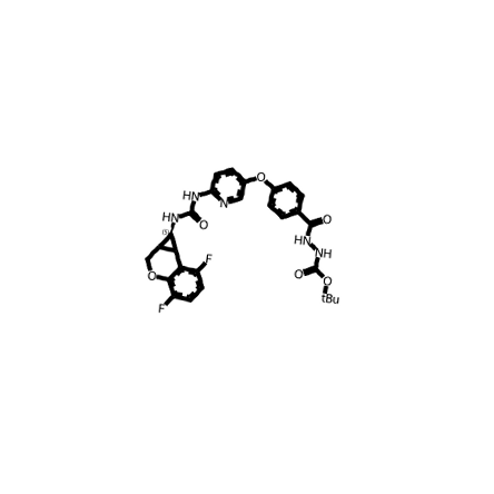 CC(C)(C)OC(=O)NNC(=O)c1ccc(Oc2ccc(NC(=O)N[C@@H]3C4COc5c(F)ccc(F)c5C43)nc2)cc1